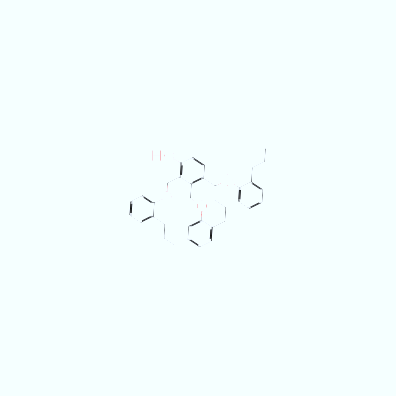 CCCc1ccccc1OCc1ccc(O)c(COc2ccccc2CCC)c1COc1ccccc1CCC